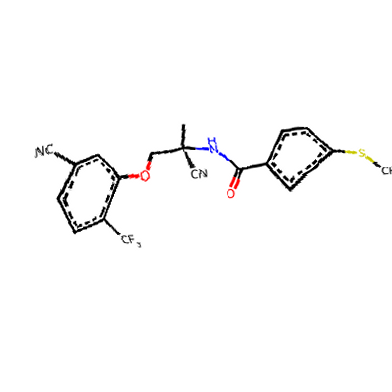 C[C@@](C#N)(COc1cc(C#N)ccc1C(F)(F)F)NC(=O)c1ccc(SC(F)(F)F)cc1